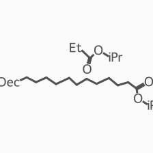 CCC(=O)OC(C)C.CCCCCCCCCCCCCCCCCCCCCC(=O)OC(C)C